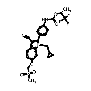 C[C@@H](OC(=O)Nc1ccc(-c2c(C#N)c3ccc(OCS(C)(=O)=O)cc3n2CC2CC2)cc1)C(F)(F)F